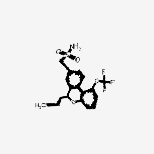 C=CCC1Oc2cccc(OC(F)(F)F)c2-c2ccc(CS(N)(=O)=O)cc21